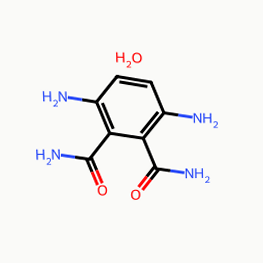 NC(=O)c1c(N)ccc(N)c1C(N)=O.O